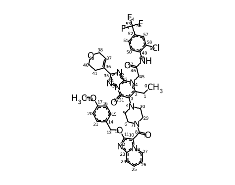 CCc1c(N2CCN(C(=O)c3c(OCc4ccc(OC)cc4)nc4ccccn34)CC2)c(=O)n2nc(C3=CCOCC3)nc2n1CC(=O)Nc1ccc(C(F)(F)F)cc1Cl